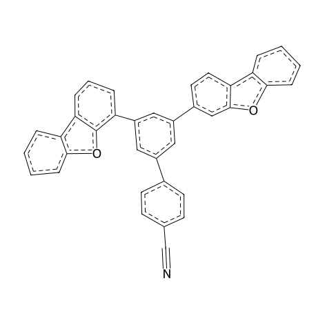 N#Cc1ccc(-c2cc(-c3ccc4c(c3)oc3ccccc34)cc(-c3cccc4c3oc3ccccc34)c2)cc1